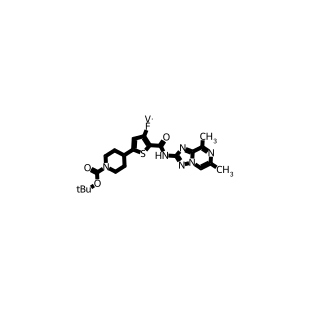 Cc1cn2nc(NC(=O)c3sc(C4CCN(C(=O)OC(C)(C)C)CC4)cc3F)nc2c(C)n1.[V]